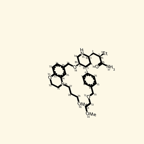 CC[C@H](C[C@H]1C[C@H](c2ccc(COCCOC)cc2)[C@@H](OCc2ccc3c(c2)N(CCCOC)CCO3)CN1)C(N)=O